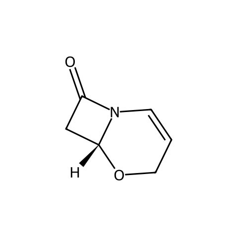 O=C1C[C@H]2OCC=CN12